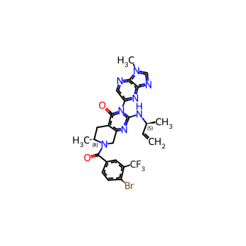 C=C[C@H](C)Nc1nc2c(c(=O)n1-c1cnc3c(ncn3C)n1)C[C@@H](C)N(C(=O)c1ccc(Br)c(C(F)(F)F)c1)C2